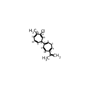 C=C(C)C1=CCC=C(C2C=CC=C(C)C(Cl)=C2)C=C1